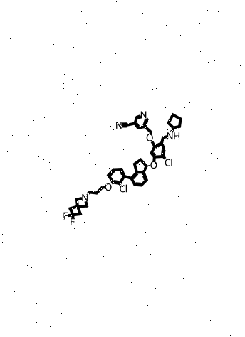 N#Cc1cncc(COc2cc(O[C@H]3CCc4c(-c5cccc(OCCCN6CC7(C6)CC(F)(F)C7)c5Cl)cccc43)c(Cl)cc2CNC2CCCC2)c1